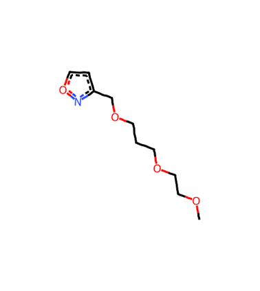 COCCOCCCOCc1ccon1